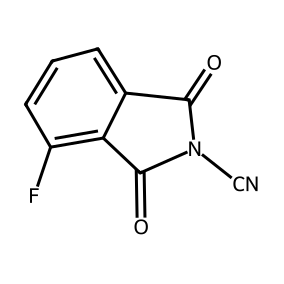 N#CN1C(=O)c2cccc(F)c2C1=O